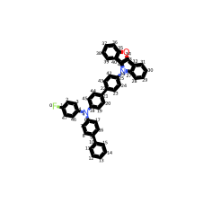 Fc1ccc(N(c2ccc(-c3ccccc3)cc2)c2ccc(-c3ccc(-n4c5ccccc5c5oc6ccccc6c54)cc3)cc2)cc1